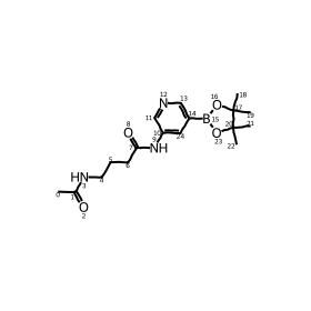 CC(=O)NCCCC(=O)Nc1cncc(B2OC(C)(C)C(C)(C)O2)c1